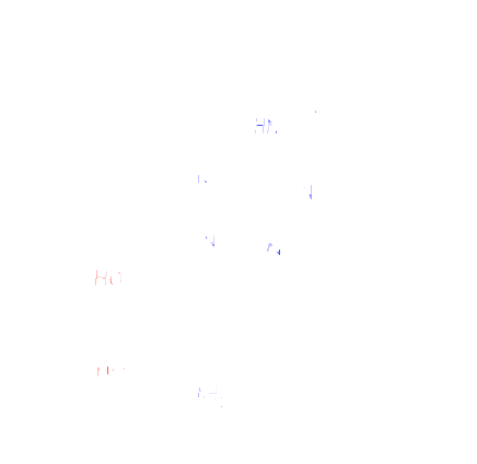 NC1CC(n2cnc3c(NC4CCCC4)nc(Cl)nc32)C(O)C1O